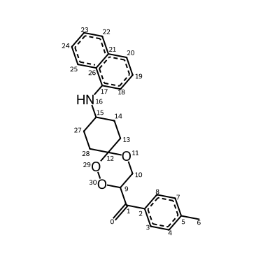 C=C(c1ccc(C)cc1)C1COC2(CCC(Nc3cccc4ccccc34)CC2)OO1